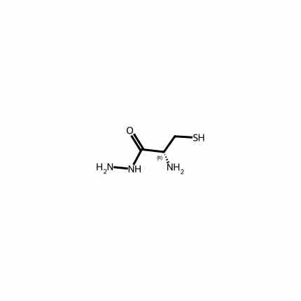 NNC(=O)[C@@H](N)CS